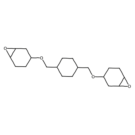 C1CC(COC2CCC3OC3C2)CCC1COC1CCC2OC2C1